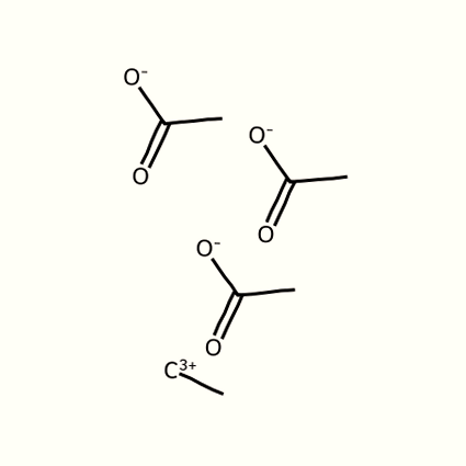 CC(=O)[O-].CC(=O)[O-].CC(=O)[O-].[C+3]C